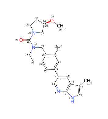 [2H]c1cc(-c2cnc3[nH]cc(C)c3c2)cc2c1CN(C(=O)N1CC[C@@H](OC)C1)CC2